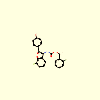 C[C@@H](OC(=O)Nc1c(-c2ccc(Br)cc2)oc2c(F)cccc12)c1ccccc1Cl